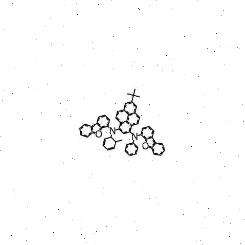 CC1C=CC=CC1N(c1cc(N(c2ccccc2)c2cccc3c2oc2ccccc23)c2ccc3cc(C(C)(C)C)cc4ccc1c2c34)c1cccc2c1oc1ccccc12